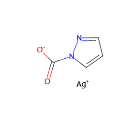 O=C([O-])n1cccn1.[Ag+]